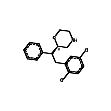 Clc1ccc(Cl)c(CC(c2ccccc2)[C@@H]2CNCCO2)c1